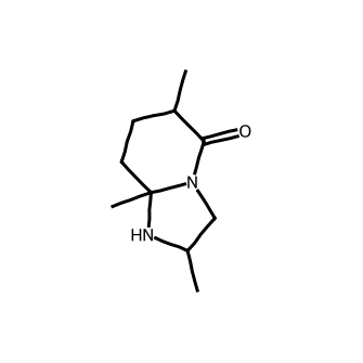 CC1CN2C(=O)C(C)CCC2(C)N1